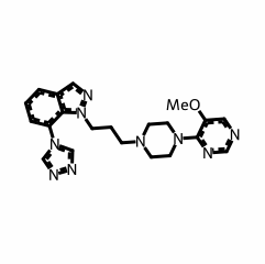 COc1cncnc1N1CCN(CCCn2ncc3cccc(-n4cnnc4)c32)CC1